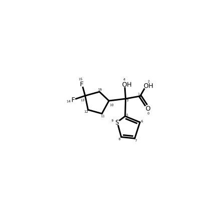 O=C(O)C(O)(c1cccs1)C1CCC(F)(F)C1